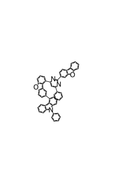 c1ccc(-c2cc(-c3cccc4oc5ccc(-c6cccc7c6c6ccccc6n7-c6ccccc6)cc5c34)nc(-c3ccc4c(c3)oc3ccccc34)n2)cc1